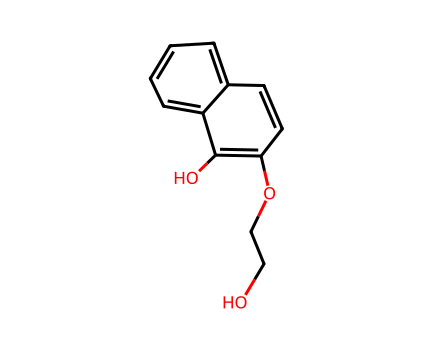 OCCOc1ccc2ccccc2c1O